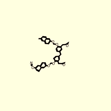 Cc1ccc2cc(OCOc3ccc(Cc4ccc(OCOc5ccc6cc(OC#N)ccc6c5)c(CC5CO5)c4)cc3CC3CO3)ccc2c1